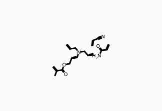 C=CC#N.C=CC(N)=O.C=CCN(C=CCOC(=O)C(=C)C)CC=C